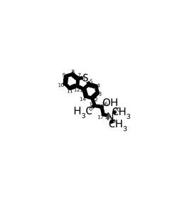 CC(c1ccc2sc3ccccc3c2c1)C(O)CN(C)C